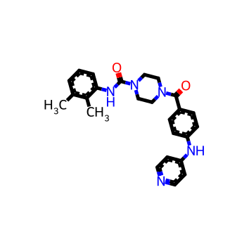 Cc1cccc(NC(=O)N2CCN(C(=O)c3ccc(Nc4ccncc4)cc3)CC2)c1C